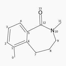 Cc1cccc2c1CCCN(C)C2=O